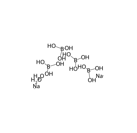 O.O.OB(O)O.OB(O)O.OB(O)O.OB(O)O.[Na].[Na]